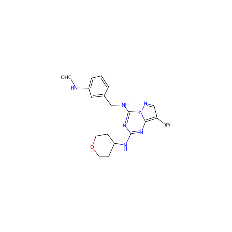 CC(C)c1cnn2c(NCc3cccc(NC=O)c3)nc(NC3CCOCC3)nc12